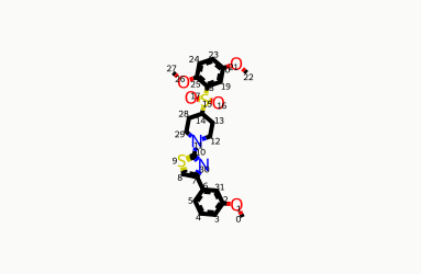 COc1cccc(-c2csc(N3CCC(S(=O)(=O)c4cc(OC)ccc4OC)CC3)n2)c1